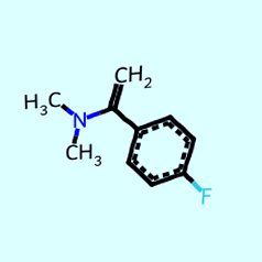 C=C(c1ccc(F)cc1)N(C)C